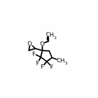 C=COC1(C2CO2)CC(C)C(F)(F)C1(F)F